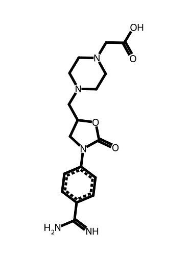 N=C(N)c1ccc(N2CC(CN3CCN(CC(=O)O)CC3)OC2=O)cc1